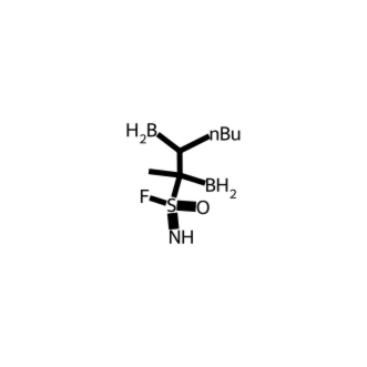 BC(CCCC)C(B)(C)S(=N)(=O)F